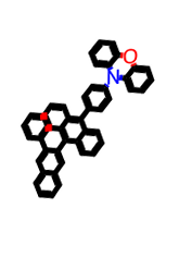 c1ccc(-c2cc3ccccc3cc2-c2c3ccccc3c(-c3ccc(N4c5ccccc5Oc5ccccc54)cc3)c3ccccc23)cc1